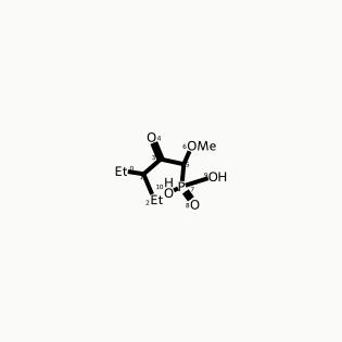 CCC(CC)C(=O)C(OC)P(=O)(O)O